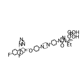 CC[C@@H]([C@H](C)OP(=O)(O)O)n1ncn(-c2ccc(N3CCN(c4ccc(OC[C@@H]5CO[C@@](Cn6cncn6)(c6ccc(F)cc6F)C5)cc4)CC3)cc2)c1=O